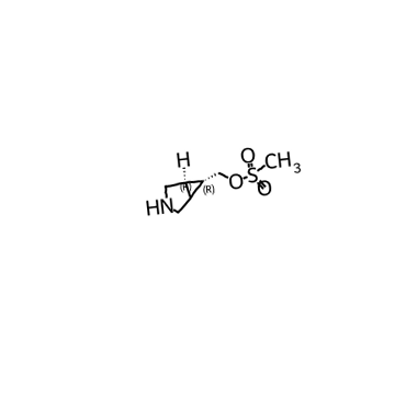 CS(=O)(=O)OC[C@@H]1C2CNC[C@H]21